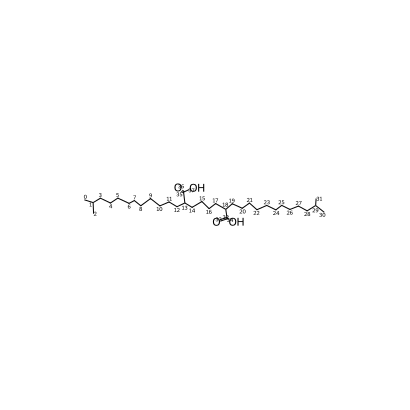 CC(C)CCCCCCCCCCC(CCCCC(CCCCCCCCCCC(C)C)C(=O)O)C(=O)O